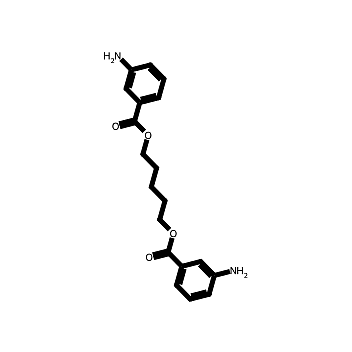 Nc1cccc(C(=O)OCCCCCOC(=O)c2cccc(N)c2)c1